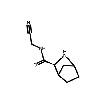 N#CCNC(=O)[C@H]1NC2CCC1C2